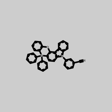 N#Cc1cccc(-n2c3ccccc3c3c4c(ccc32)[Si](c2ccccc2)(c2ccccc2)c2ccccc2O4)c1